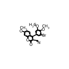 COc1ccc2c(-c3cc(Br)c(OC)c(OC)c3)c(C#N)c(=O)oc2c1